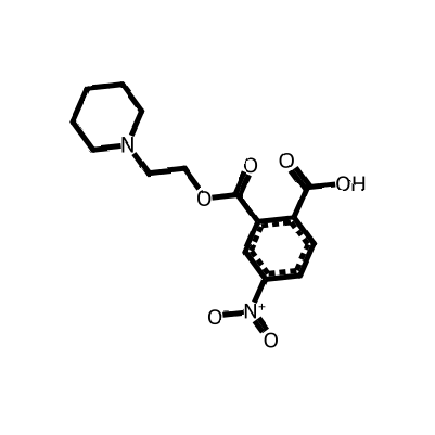 O=C(O)c1ccc([N+](=O)[O-])cc1C(=O)OCCN1CCCCC1